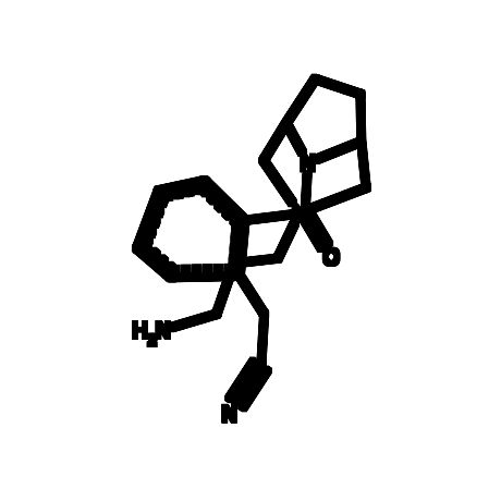 N#CCc1ccccc1C(=O)N1C2CCC1CN(CCCN)C2